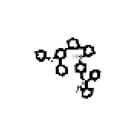 Nc1ccccc1[C@@H](Cc1ccc(Nc2ccccc2C2=CCCC(c3ccc(Nc4ccccc4)c(C4C=CC=CC4)c3)=C2)cc1)c1ccccc1